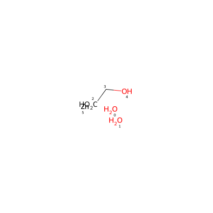 O.O.O=C(O)CO.[Zn]